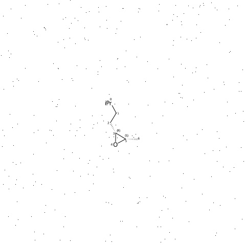 CC(C)CC[C@H]1O[C@H]1C